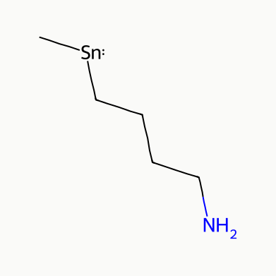 [CH3][Sn][CH2]CCCN